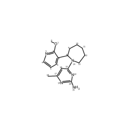 COc1ncccc1C1CCCCCN1c1cc(C)nc(N)n1